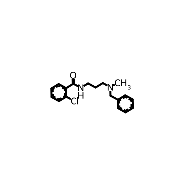 CN(CCCNC(=O)c1ccccc1Cl)Cc1ccccc1